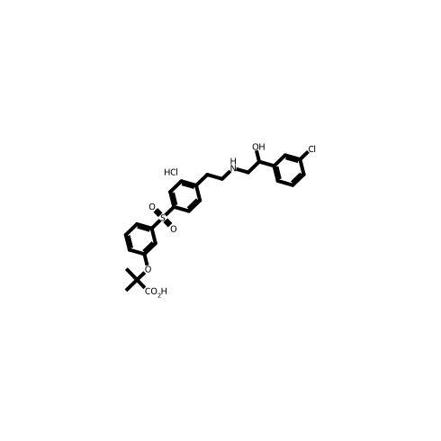 CC(C)(Oc1cccc(S(=O)(=O)c2ccc(CCNCC(O)c3cccc(Cl)c3)cc2)c1)C(=O)O.Cl